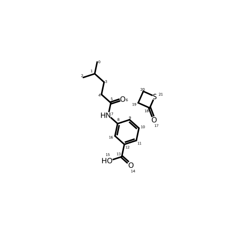 CC(C)CCC(=O)Nc1cccc(C(=O)O)c1.O=C1CCS1